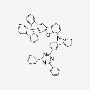 c1ccc(-c2nc(-c3ccccc3)nc(-c3ccc4c(c3)c3ccccc3n4-c3cccc4c3oc3cc5c(cc34)-c3ccccc3C53c4ccccc4-c4ccccc43)n2)cc1